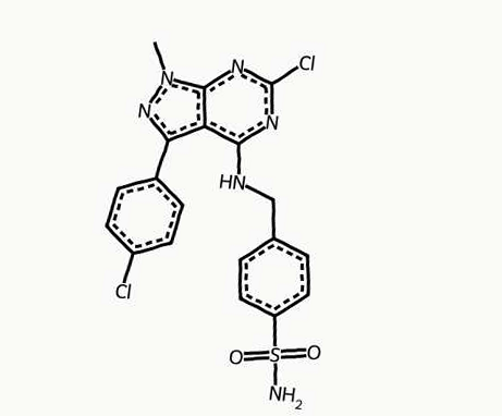 Cn1nc(-c2ccc(Cl)cc2)c2c(NCc3ccc(S(N)(=O)=O)cc3)nc(Cl)nc21